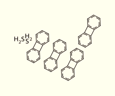 S.S.c1ccc2c(c1)-c1ccccc1-2.c1ccc2c(c1)-c1ccccc1-2.c1ccc2c(c1)-c1ccccc1-2.c1ccc2c(c1)-c1ccccc1-2